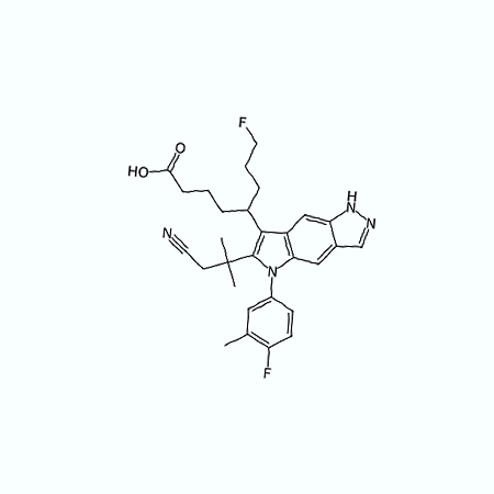 Cc1cc(-n2c(C(C)(C)CC#N)c(C(CCCF)CCCC(=O)O)c3cc4[nH]ncc4cc32)ccc1F